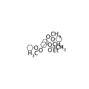 CCC(C)(C)C(=O)OC12CC3CC(OC(C)OC4CCCCC4)(C1)CC(OC(C)OC1CCCCC1)(C3)C2